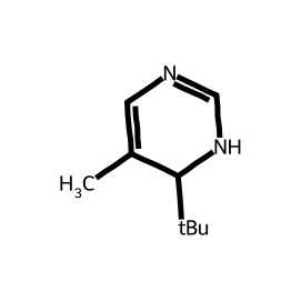 CC1=CN=CNC1C(C)(C)C